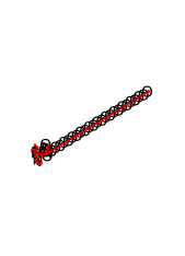 COCCOCCOCCOCCOCCOCCOCCOCCOCCOCCOCCOCCOCCOCCOCCOCCOCCOCCOCCOCCOCCOCCOCCOCCNC(=O)CCCCCN1C(=CC=CC2=[N+](CCCCCC(=O)ON3C(=O)CCC3=O)c3ccc(C)cc3C2(C)C)C(C)(C)c2cc(C)ccc21